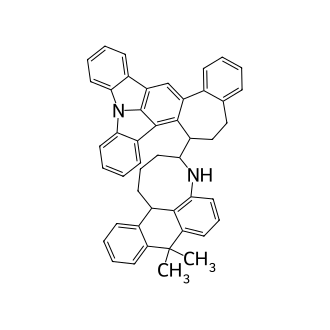 CC1(C)c2ccccc2C2CCCC(C3CCc4ccccc4-c4cc5c6ccccc6n6c7ccccc7c(c43)c56)Nc3cccc1c32